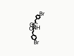 O=C(C=Cc1ccc(Br)cc1)N[S+]([O-])C=Cc1ccc(Br)cc1